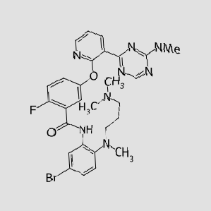 CNc1ncnc(-c2cccnc2Oc2ccc(F)c(C(=O)Nc3cc(Br)ccc3N(C)CCCN(C)C)c2)n1